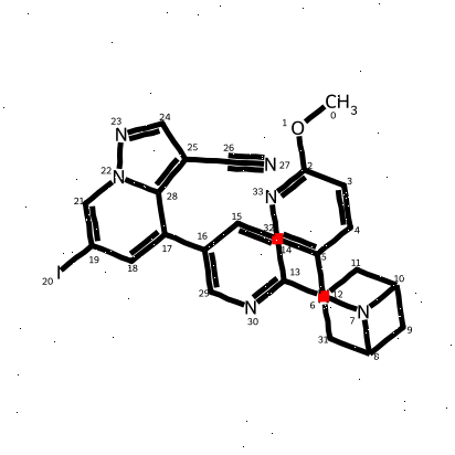 COc1ccc(CN2C3CC2CN(c2ccc(-c4cc(I)cn5ncc(C#N)c45)cn2)C3)cn1